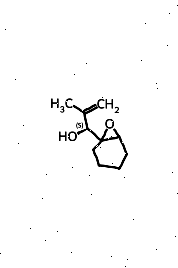 C=C(C)[C@H](O)C12CCCCC1O2